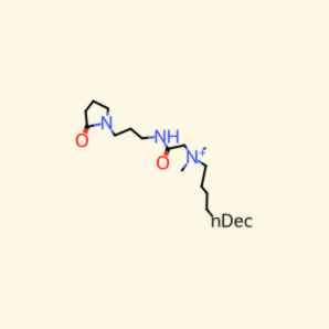 CCCCCCCCCCCCCC[N+](C)(C)CC(=O)NCCCN1CCCC1=O